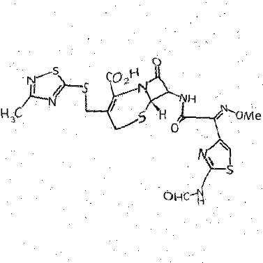 CON=C(C(=O)NC1C(=O)N2C(C(=O)O)=C(CSc3nc(C)ns3)CS[C@@H]12)c1csc(NC=O)n1